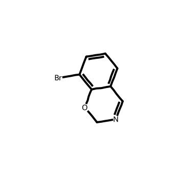 Brc1cccc2c1OCN=C2